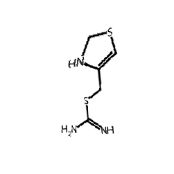 N=C(N)SCC1=CSCN1